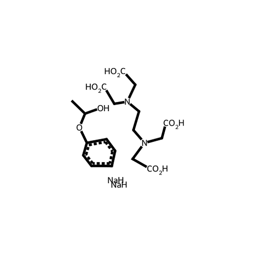 CC(O)Oc1ccccc1.O=C(O)CN(CCN(CC(=O)O)CC(=O)O)CC(=O)O.[NaH].[NaH]